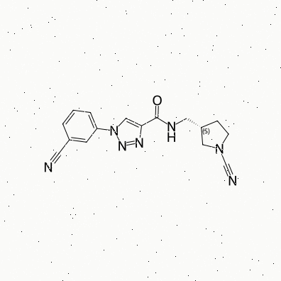 N#Cc1cccc(-n2cc(C(=O)NC[C@@H]3CCN(C#N)C3)nn2)c1